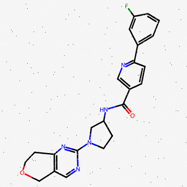 O=C(NC1CCN(c2ncc3c(n2)CCOC3)C1)c1ccc(-c2cccc(F)c2)nc1